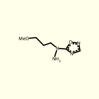 COCCCN(N)c1ncno1